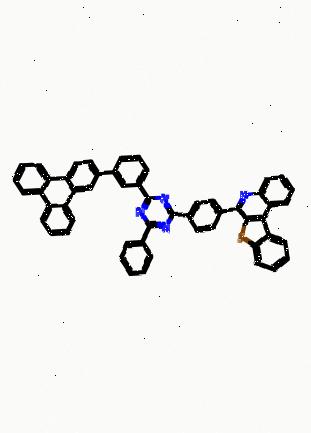 c1ccc(-c2nc(-c3ccc(-c4nc5ccccc5c5c4sc4ccccc45)cc3)nc(-c3cccc(-c4ccc5c6ccccc6c6ccccc6c5c4)c3)n2)cc1